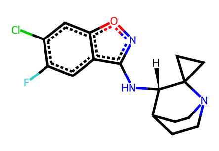 Fc1cc2c(N[C@H]3C4CCN(CC4)C34CC4)noc2cc1Cl